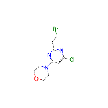 Clc1cc(N2CCOCC2)nc(CCBr)n1